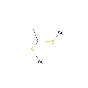 C[C](SC(C)=O)SC(C)=O